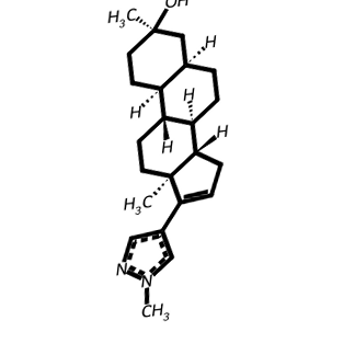 Cn1cc(C2=CC[C@H]3[C@@H]4CC[C@@H]5C[C@](C)(O)CC[C@@H]5[C@H]4CC[C@]23C)cn1